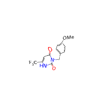 COc1ccc(Cn2c(=O)cc(C(F)(F)F)[nH]c2=O)cc1